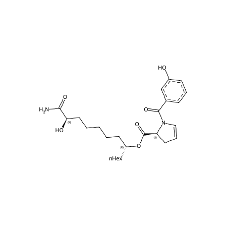 CCCCCC[C@H](CCCCC[C@@H](O)C(N)=O)OC(=O)[C@@H]1CC=CN1C(=O)c1cccc(O)c1